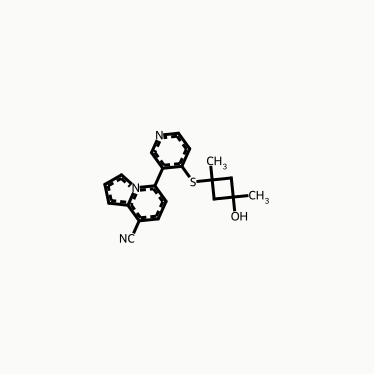 CC1(O)CC(C)(Sc2ccncc2-c2ccc(C#N)c3cccn23)C1